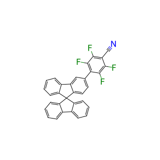 N#Cc1c(F)c(F)c(-c2ccc3c(c2)-c2ccccc2C32c3ccccc3-c3ccccc32)c(F)c1F